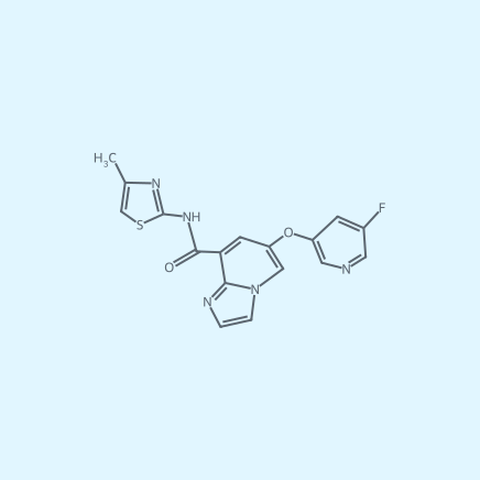 Cc1csc(NC(=O)c2cc(Oc3cncc(F)c3)cn3ccnc23)n1